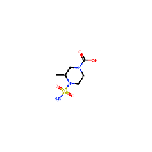 C[C@H]1CN(C(=O)O)CCN1S(N)(=O)=O